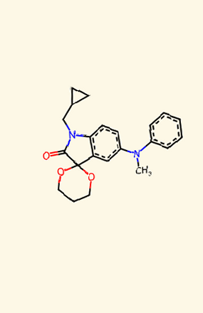 CN(c1ccccc1)c1ccc2c(c1)C1(OCCCO1)C(=O)N2CC1CC1